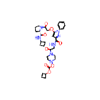 O=C(OC1CCC1)ON1CCN(C(=O)CNC(=O)c2cc(OCC(=O)N3CCC[C@H]3C(=O)NC3CCC3)n(-c3ccccc3)n2)CC1